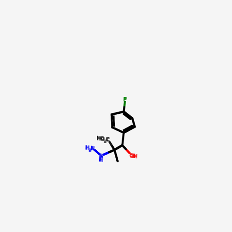 CC(NN)(C(=O)O)C(O)c1ccc(F)cc1